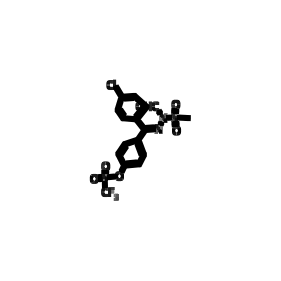 CS(=O)(=O)N(C=O)N=C(c1ccc(Cl)cc1)c1ccc(OS(=O)(=O)C(F)(F)F)cc1